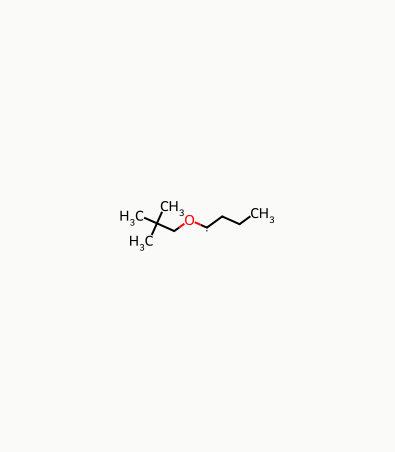 CCC[CH]OCC(C)(C)C